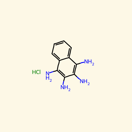 Cl.Nc1c(N)c(N)c2ccccc2c1N